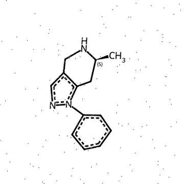 C[C@H]1Cc2c(cnn2-c2ccccc2)CN1